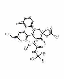 C=C(/C=C\C(Cl)=C/C)[C@@H]1[C@@H](c2cccc(Cl)c2)C[C@](C)(CC(=O)O)C(=O)N1[C@@H](CC)C(=O)NC(C)(C)C